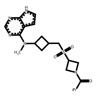 CC(C)C(=O)N1CC(S(=O)(=O)CC2CC(N(C)c3ncnc4[nH]ccc34)C2)C1